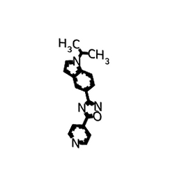 CC(C)n1ccc2cc(-c3noc(-c4ccncc4)n3)ccc21